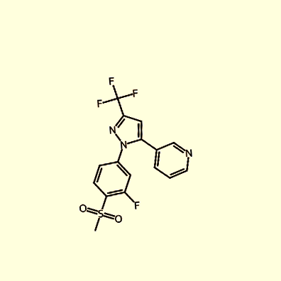 CS(=O)(=O)c1ccc(-n2nc(C(F)(F)F)cc2-c2cccnc2)cc1F